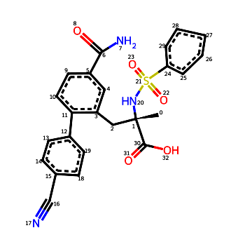 C[C@@](Cc1cc(C(N)=O)ccc1-c1ccc(C#N)cc1)(NS(=O)(=O)c1ccccc1)C(=O)O